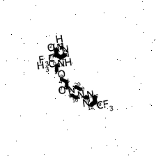 C[C@@H](COCCC(=O)N1CCN(c2ncc(C(F)(F)F)cn2)CC1)Nc1cn[nH]c(=O)c1C(F)(F)F